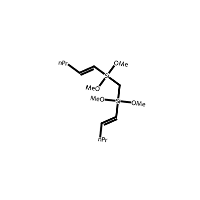 CCCC=C[Si](C[Si](C=CCCC)(OC)OC)(OC)OC